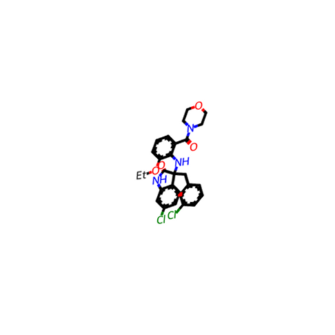 CCOc1cccc(C(=O)N2CCOCC2)c1NC1(Cc2cccc(Cl)c2)C(=O)Nc2cc(Cl)ccc21